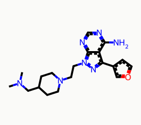 CN(C)CC1CCN(CCn2nc(-c3ccoc3)c3c(N)ncnc32)CC1